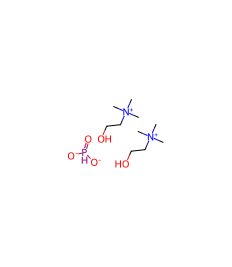 C[N+](C)(C)CCO.C[N+](C)(C)CCO.O=[PH]([O-])[O-]